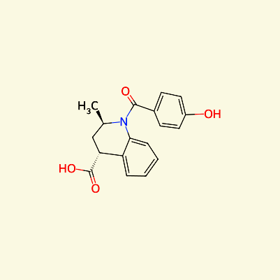 C[C@@H]1C[C@@H](C(=O)O)c2ccccc2N1C(=O)c1ccc(O)cc1